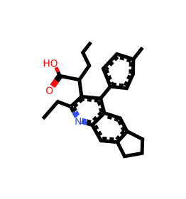 CCCC(C(=O)O)c1c(CC)nc2cc3c(cc2c1-c1ccc(C)cc1)CCC3